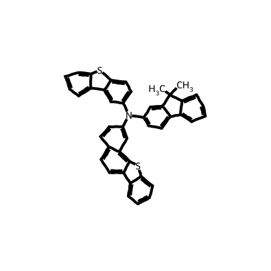 CC1(C)c2ccccc2-c2ccc(N(c3ccc4sc5ccccc5c4c3)c3ccc4ccc5c6ccccc6sc5c4c3)cc21